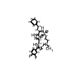 CCN(CC)CCCS(=O)(=O)N[C@H](CCc1ccccc1)c1nc(CNC(=O)c2ccc(F)c(F)c2)n[nH]1